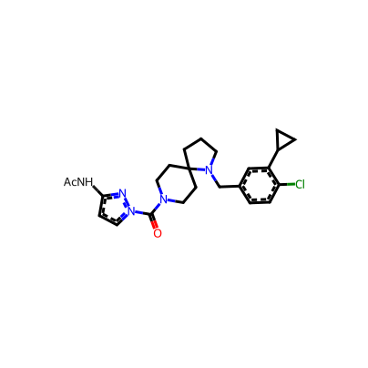 CC(=O)Nc1ccn(C(=O)N2CCC3(CCCN3Cc3ccc(Cl)c(C4CC4)c3)CC2)n1